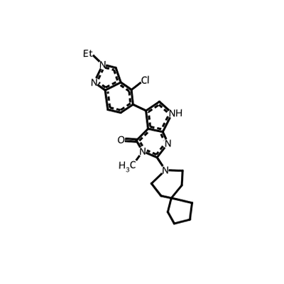 CCn1cc2c(Cl)c(-c3c[nH]c4nc(N5CCC6(CCCC6)CC5)n(C)c(=O)c34)ccc2n1